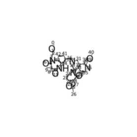 COCCN1C(=O)C(C)(C)C(=O)Nc2cc(CN(CCn3ccc4oc(C)cc4c3=O)Cc3cccnc3COC)ccc21